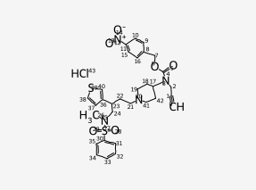 C#CCN(C(=O)OCc1ccc([N+](=O)[O-])cc1)C1CCN(CCC(CN(C)S(=O)(=O)c2ccccc2)c2ccsc2)CC1.Cl